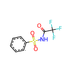 O=C(NS(=O)(=O)c1[c]cccc1)C(F)(F)F